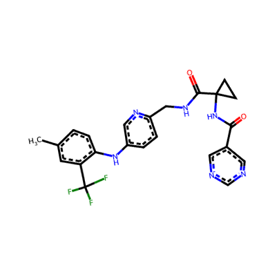 Cc1ccc(Nc2ccc(CNC(=O)C3(NC(=O)c4cncnc4)CC3)nc2)c(C(F)(F)F)c1